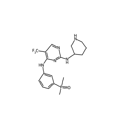 CP(C)(=O)c1cccc(Nc2nc(NC3CCCNC3)ncc2C(F)(F)F)c1